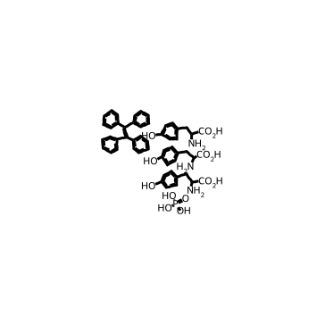 NC(Cc1ccc(O)cc1)C(=O)O.NC(Cc1ccc(O)cc1)C(=O)O.NC(Cc1ccc(O)cc1)C(=O)O.O=P(O)(O)O.c1ccc(C(=C(c2ccccc2)c2ccccc2)c2ccccc2)cc1